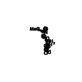 COCCCn1c([C@@H]2CCCN(C(=O)C[C@@H](N)CNS(=O)(=O)c3ccc(Cl)c(Cl)c3)C2)nc2ccccc21